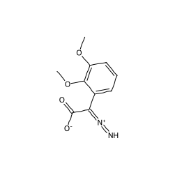 COc1cccc(C(=[N+]=N)C(=O)[O-])c1OC